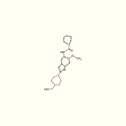 COc1cc2nn(C3CCC(CO)CC3)cc2cc1NC(=O)c1ccccc1